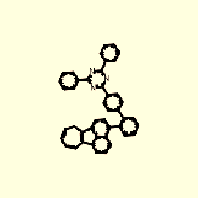 C1=CCC2=C(C=C1)c1cccc3c(-c4ccccc4-c4ccc(-c5nc(-c6ccccc6)nc(-c6ccccc6)n5)cc4)ccc2c13